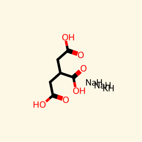 O=C(O)CC(CC(=O)O)C(=O)O.[KH].[NaH].[NaH]